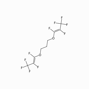 FC(OCCCOC(F)=C(F)C(F)(F)F)=C(F)C(F)(F)F